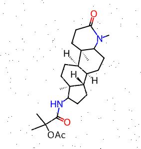 CC(=O)OC(C)(C)C(=O)NC1CC[C@H]2[C@@H]3CCC4N(C)C(=O)CC[C@]4(C)[C@@H]3CC[C@]12C